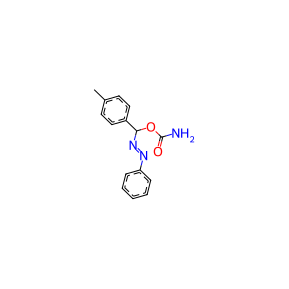 Cc1ccc(C(N=Nc2ccccc2)OC(N)=O)cc1